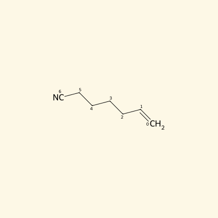 C=CCCCCC#N